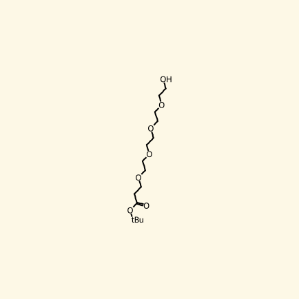 CC(C)(C)OC(=O)CCOCCOCCOCCOCCO